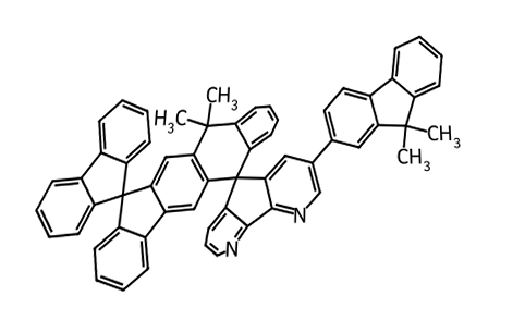 CC1(C)c2ccccc2-c2ccc(-c3cnc4c(c3)C3(c5ccccc5C(C)(C)c5cc6c(cc53)-c3ccccc3C63c5ccccc5-c5ccccc53)c3cccnc3-4)cc21